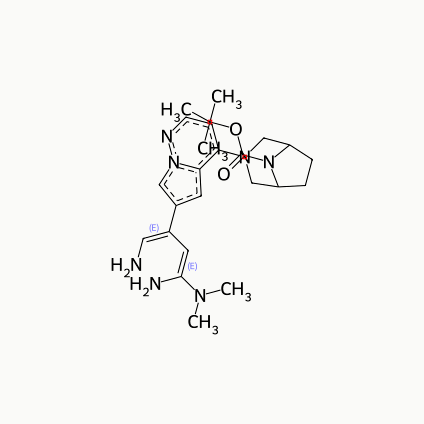 CN(C)/C(N)=C/C(=C\N)c1cc2c(N3CC4CCC(C3)N4C(=O)OC(C)(C)C)ccnn2c1